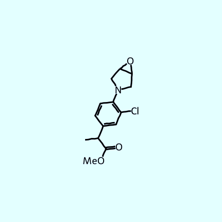 COC(=O)C(C)c1ccc(N2CC3OC3C2)c(Cl)c1